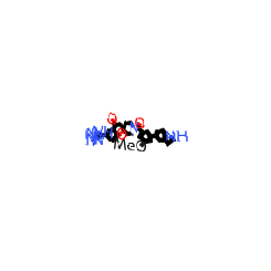 COc1cc(C(=O)N2CCC3(CC2)CC(=O)c2cc(-c4nnn[nH]4)ccc2O3)cc(-c2ccc3[nH]ccc3c2)c1